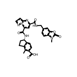 Cc1c(C(=O)O)ccc2c1CC[C@@H]2NC(=O)c1cc(C(=O)NCc2ccc3c(c2)oc(=O)n3C)nc2ccnn12